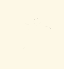 N#Cc1scc2c1CN(C(CCC=O)C(N)=O)C2=O